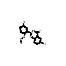 O=POc1ccc(Cl)cc1-c1nc2ccc(Cl)cc2c(=O)[nH]1